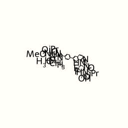 COC(=O)NC(C(=O)N1C[Si](C)(C)CC1c1ncc(-c2ccc(-c3ccc4c(ccc5nc(CN(C(=O)C(NC(=O)CO)C(C)C)C6CCC(F)(F)CC6)[nH]c54)c3)cc2)[nH]1)C(C)C